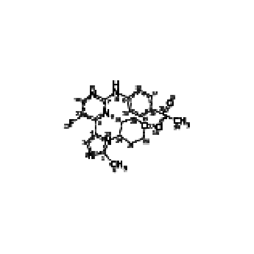 Cc1ncc(-c2nc(Nc3ccc(S(C)(=O)=O)cc3)ncc2F)n1C1CCOCC1